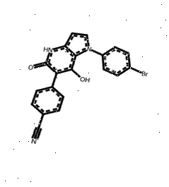 N#Cc1ccc(-c2c(O)c3c(ccn3-c3ccc(Br)cc3)[nH]c2=O)cc1